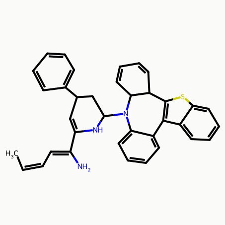 C/C=C\C=C(/N)C1=CC(c2ccccc2)CC(N2c3ccccc3-c3c(sc4ccccc34)C3C=CC=CC32)N1